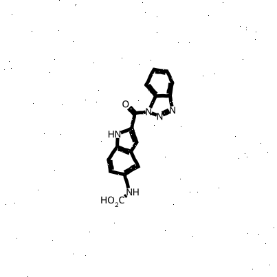 O=C(O)Nc1ccc2[nH]c(C(=O)n3nnc4ccccc43)cc2c1